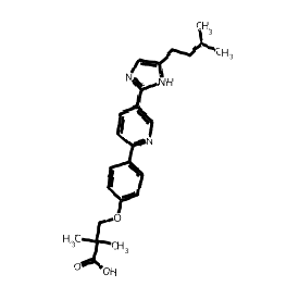 CC(C)CCc1cnc(-c2ccc(-c3ccc(OCC(C)(C)C(=O)O)cc3)nc2)[nH]1